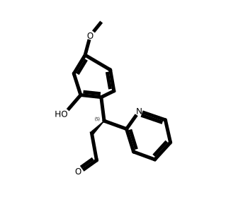 COc1ccc([C@H](CC=O)c2ccccn2)c(O)c1